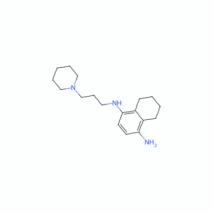 Nc1ccc(NCCCN2CCCCC2)c2c1CCCC2